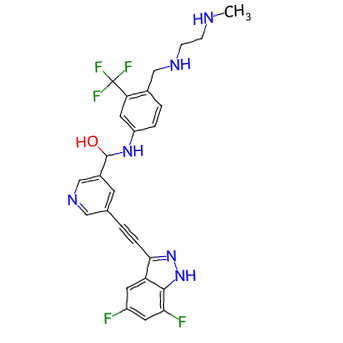 CNCCNCc1ccc(NC(O)c2cncc(C#Cc3n[nH]c4c(F)cc(F)cc34)c2)cc1C(F)(F)F